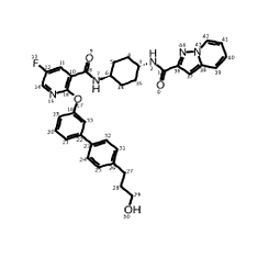 O=C(N[C@H]1CC[C@H](NC(=O)c2cc(F)cnc2Oc2cccc(-c3ccc(CCCO)cc3)c2)CC1)c1cc2ccccn2n1